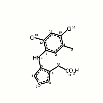 Cc1cc(Nc2cscc2CC(=O)O)c(Cl)cc1Cl